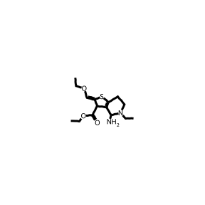 CCOC=C1SC2=C(C1C(=O)OCC)C(N)N(CC)CC2